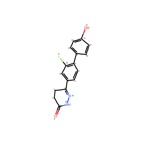 O=C1CCC(c2ccc(-c3ccc(O)cc3)c(F)c2)=NN1